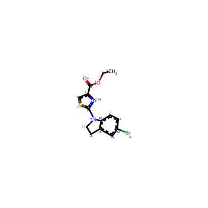 CCOC(=O)c1csc(N2CCc3cc(Br)ccc32)n1